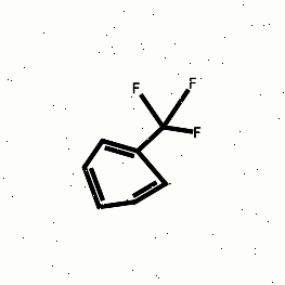 FC(F)(F)c1[c]cccc1